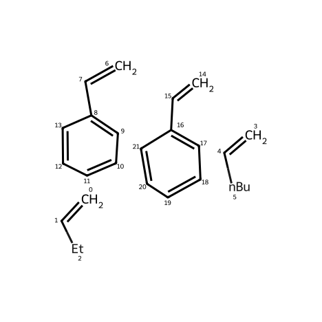 C=CCC.C=CCCCC.C=Cc1ccccc1.C=Cc1ccccc1